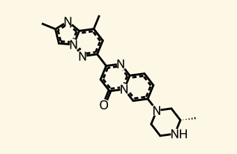 Cc1cn2nc(-c3cc(=O)n4cc(N5CCN[C@@H](C)C5)ccc4n3)cc(C)c2n1